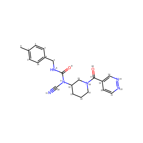 Cc1ccc(CNC(=O)N(C#N)C2CCCN(C(=O)c3ccnnc3)C2)cc1